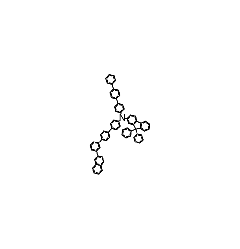 c1ccc(-c2ccc(-c3ccc(N(c4ccc(-c5ccc(-c6cccc(-c7ccc8ccccc8c7)c6)cc5)cc4)c4ccc5c(c4)C(c4ccccc4)(c4ccccc4)c4ccccc4-5)cc3)cc2)cc1